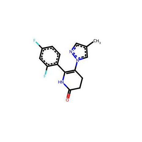 Cc1cnn(C2=C(c3ccc(F)cc3F)NC(=O)CC2)c1